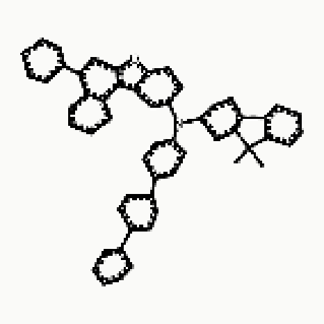 CC1(C)c2ccccc2-c2ccc(N(c3ccc(-c4ccc(-c5ccccc5)cc4)cc3)c3ccc4oc5cc(-c6ccccc6)c6ccccc6c5c4c3)cc21